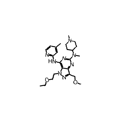 CCOCCn1nc(COC)c2nc(N(C)C3CCN(C)CC3)nc(Nc3cc(C)ccn3)c21